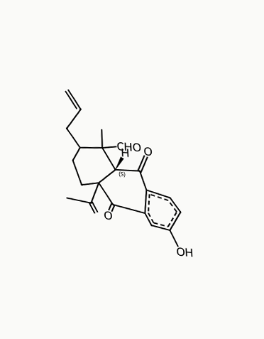 C=CCC1CCC2(C(=C)C)C(=O)c3cc(O)ccc3C(=O)[C@H]2C1(C)C=O